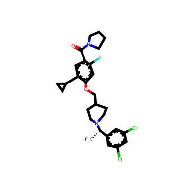 O=C(c1cc(C2CC2)c(OCC2CCN([C@H](c3cc(Cl)cc(Cl)c3)C(F)(F)F)CC2)cc1F)N1CCCC1